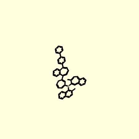 CC1=CC=c2ccccc2=C=C1B(C1=CC=CCC(C2=C=CC=C(c3ccc(-c4ccccc4)cc3)c3ccccc32)=C1)c1c(C)ccc2ccccc12